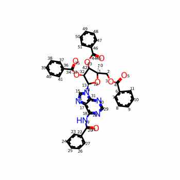 C[C@]1(COC(=O)c2ccccc2)O[C@@H](n2cnc3c(NC(=O)c4ccccc4)ncnc32)[C@@H](OC(=O)c2ccccc2)C1OC(=O)c1ccccc1